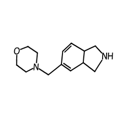 C1=CC2CNCC2C=C1CN1CCOCC1